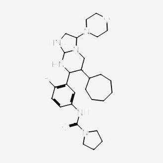 O=C(Nc1ccc(F)c(C2NC3NCC(N4CCOCC4)N3CC2C2CCCCCC2)c1)N1CCCC1